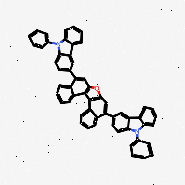 c1ccc(-n2c3ccccc3c3cc(-c4cc5oc6cc(-c7ccc8c(c7)c7ccccc7n8-c7ccccc7)c7ccccc7c6c5c5ccccc45)ccc32)cc1